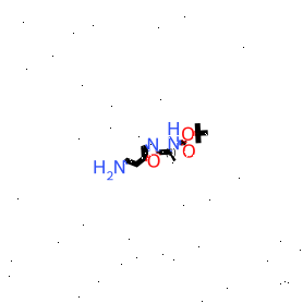 C[C@H](NC(=O)OC(C)(C)C)c1ncc(CCN)o1